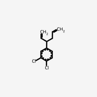 C=CCC(C=C)c1ccc(Cl)c(Cl)c1